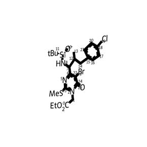 CCOC(=O)Cn1c(SC)nc(C(N[S@@+]([O-])C(C)(C)C)C(C)Cc2ccc(Cl)cc2)c(Br)c1=O